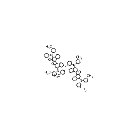 Cc1cccc(N(c2cccc(C)c2)c2cc3oc4cc(N(c5cccc(C)c5)c5cccc(Cc6ccc7c(c6)c(N(c6cccc(C)c6)c6ccccc6C)cc6oc8cc(N(c9cccc(C)c9)c9ccccc9C)c9ccccc9c8c67)c5)c5ccccc5c4c3c3ccccc23)c1